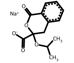 CC(C)OC1(C(=O)[O-])Cc2ccccc2C(=O)O1.[Na+]